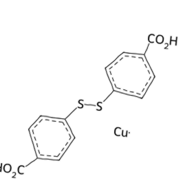 O=C(O)c1ccc(SSc2ccc(C(=O)O)cc2)cc1.[Cu]